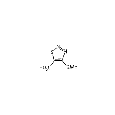 CSc1nnsc1C(=O)O